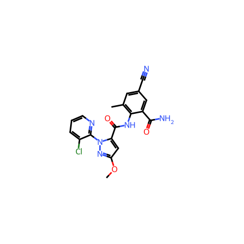 COc1cc(C(=O)Nc2c(C)cc(C#N)cc2C(N)=O)n(-c2ncccc2Cl)n1